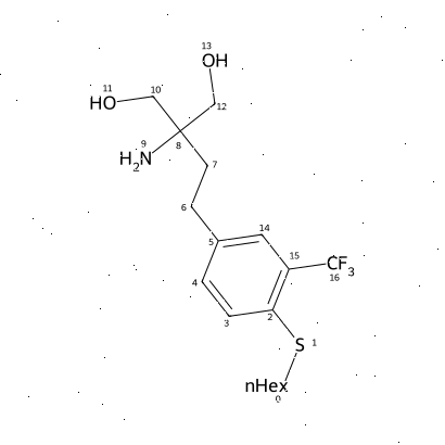 CCCCCCSc1ccc(CCC(N)(CO)CO)cc1C(F)(F)F